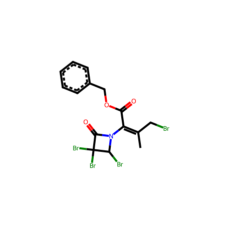 CC(CBr)=C(C(=O)OCc1ccccc1)N1C(=O)C(Br)(Br)C1Br